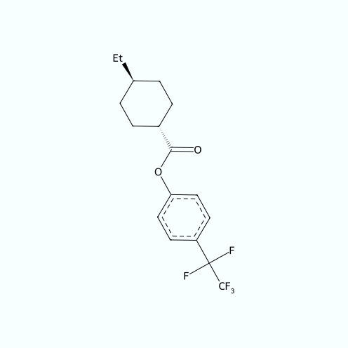 CC[C@H]1CC[C@H](C(=O)Oc2ccc(C(F)(F)C(F)(F)F)cc2)CC1